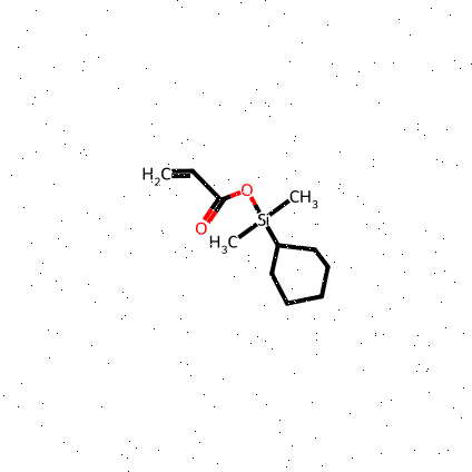 C=CC(=O)O[Si](C)(C)C1CCCCC1